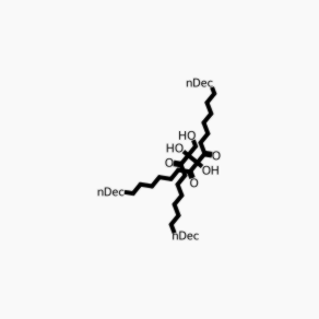 CCCCCCCCCCCCCCCCC(=O)C(O)(CO)C(O)(C(=O)CCCCCCCCCCCCCCCC)C(=O)CCCCCCCCCCCCCCCC